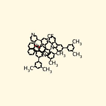 Cc1cc(C)cc(-c2ccc3c(c2)c2ccccc2n3-c2ccncc2-c2cc(C(F)(F)F)cc(-c3cnccc3-n3c4ccccc4c4cc(-c5cc(C)cc(C)c5)ccc43)c2-n2c3ccccc3c3cc(-c4cc(C)cc(C)c4)ccc32)c1